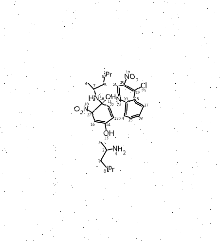 CC(C)CC(C)N.CC(C)CC(C)NC1(O)C=CC(O)=CC1[N+](=O)[O-].O=[N+]([O-])c1cnc2ccccc2c1Cl